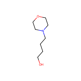 O[CH]CCCN1CCOCC1